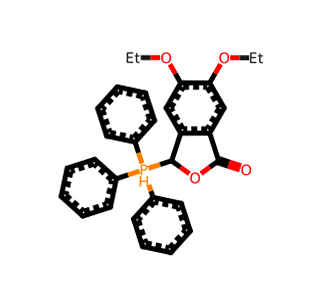 CCOc1cc2c(cc1OCC)C([PH](c1ccccc1)(c1ccccc1)c1ccccc1)OC2=O